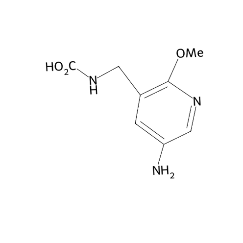 COc1ncc(N)cc1CNC(=O)O